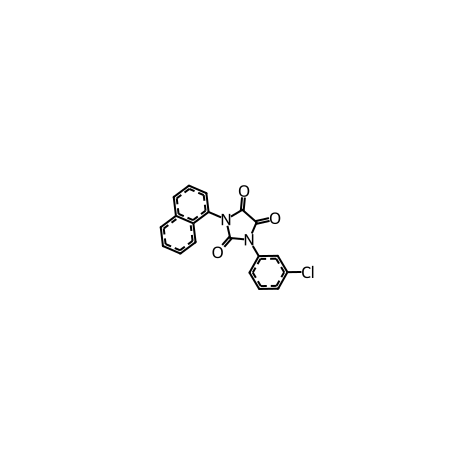 O=C1C(=O)N(c2cccc3ccccc23)C(=O)N1c1cccc(Cl)c1